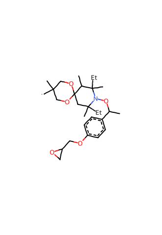 [CH2]C1(C)COC2(CC(C)(CC)N(OC(C)c3ccc(OCC4CO4)cc3)C(C)(CC)C2C)OC1